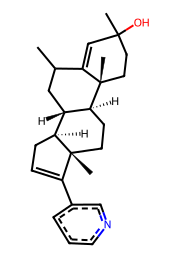 CC1C[C@@H]2[C@H](CC[C@]3(C)C(c4cccnc4)=CC[C@@H]23)[C@@]2(C)CCC(C)(O)C=C12